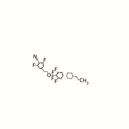 CCC[C@H]1CC[C@H](c2cc(F)c(C(F)(F)OCCc3cc(F)c(C#N)c(F)c3)c(F)c2)CC1